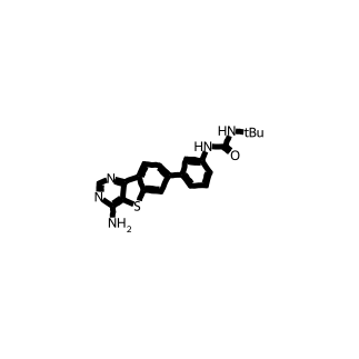 CC(C)(C)NC(=O)Nc1cccc(-c2ccc3c(c2)sc2c(N)ncnc23)c1